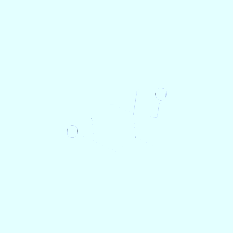 CC1CC2OC2CC12COC2